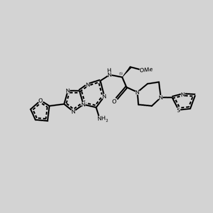 COC[C@H](Nc1nc(N)n2nc(-c3ccco3)nc2n1)C(=O)N1CCN(c2nccs2)CC1